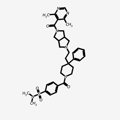 Cc1ncnc(C)c1C(=O)N1CC2CN(CCC3(c4ccccc4)CCN(C(=O)c4ccc(S(=O)(=O)N(C)C)cc4)CC3)CC2C1